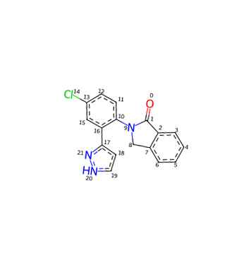 O=C1c2ccccc2CN1c1ccc(Cl)cc1-c1cc[nH]n1